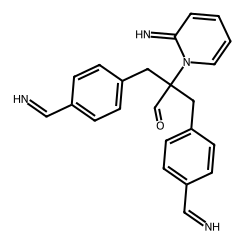 N=Cc1ccc(CC(C=O)(Cc2ccc(C=N)cc2)n2ccccc2=N)cc1